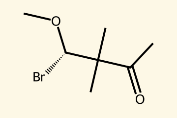 CO[C@@H](Br)C(C)(C)C(C)=O